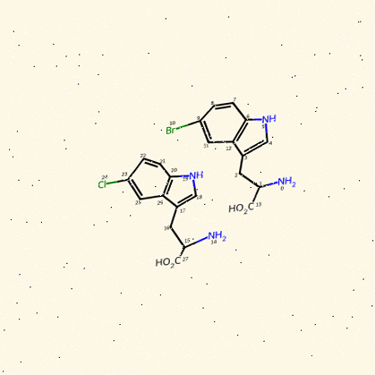 NC(Cc1c[nH]c2ccc(Br)cc12)C(=O)O.NC(Cc1c[nH]c2ccc(Cl)cc12)C(=O)O